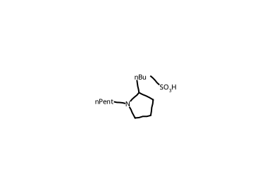 CCCCCN1CCCC1CCCC.CS(=O)(=O)O